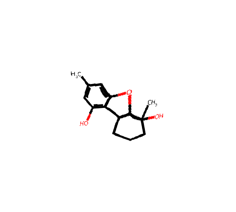 Cc1cc(O)c2c(c1)OC1C2CCCC1(C)O